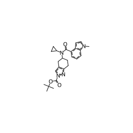 Cn1ccc2c(C(=O)N(C3CC3)C3CCc4nn(C(=O)OC(C)(C)C)cc4C3)cccc21